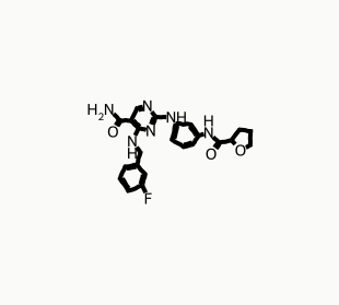 NC(=O)c1cnc(Nc2cccc(NC(=O)C3CCCO3)c2)nc1NCc1cccc(F)c1